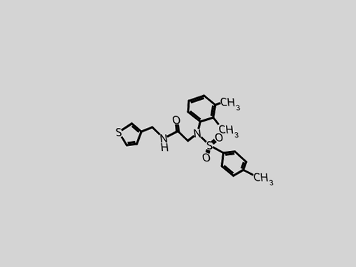 Cc1ccc(S(=O)(=O)N(CC(=O)NCc2ccsc2)c2cccc(C)c2C)cc1